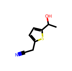 CC(O)c1ccc(CC#N)s1